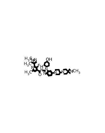 Cc1cc(C(=O)Nc2nc3ccc(N4CCC(N5CCC6(CC5)CN(C)C6)CC4)cc3n2C2CCC(O)CC2)c(F)c(-c2cnn(C)c2C)n1